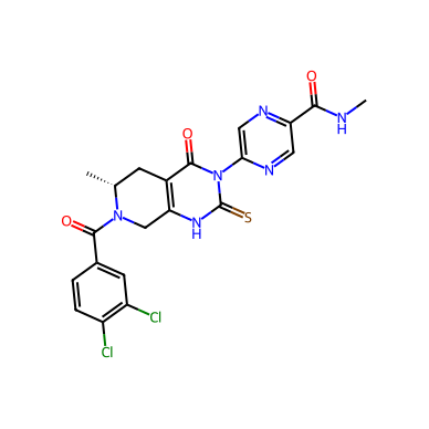 CNC(=O)c1cnc(-n2c(=S)[nH]c3c(c2=O)C[C@@H](C)N(C(=O)c2ccc(Cl)c(Cl)c2)C3)cn1